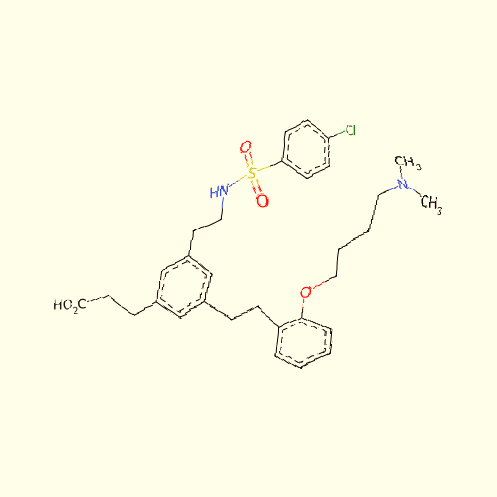 CN(C)CCCCOc1ccccc1CCc1cc(CCNS(=O)(=O)c2ccc(Cl)cc2)cc(CCC(=O)O)c1